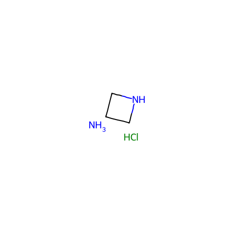 C1CNC1.Cl.N